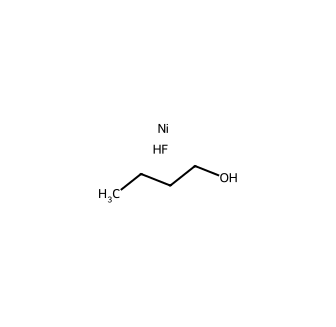 CCCCO.F.[Ni]